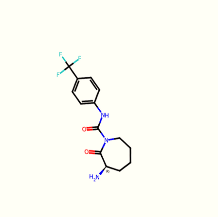 N[C@@H]1CCCCN(C(=O)Nc2ccc(C(F)(F)F)cc2)C1=O